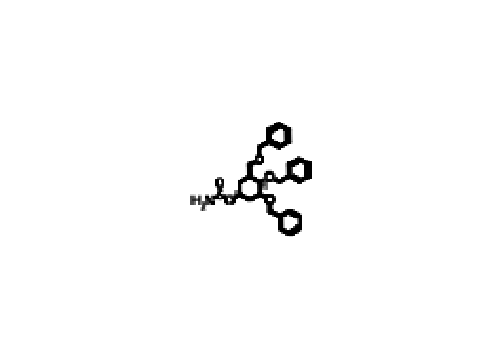 NS(=O)O[C@H]1CC(COCc2ccccc2)[C@@H](OCc2ccccc2)C(OCc2ccccc2)C1